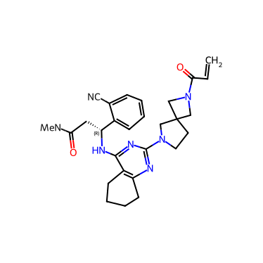 C=CC(=O)N1CC2(CCN(c3nc4c(c(N[C@H](CC(=O)NC)c5ccccc5C#N)n3)CCCC4)C2)C1